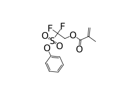 C=C(C)C(=O)OCC(F)(F)S(=O)(=O)Oc1ccccc1